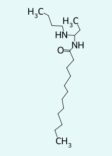 CCCCCCCCCCCC(=O)NC(CC)NCCCC